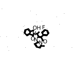 Cc1cccc2nc(C(C)N3C(=O)c4ccccc4C3O)c(-c3cccc(F)c3)c(=O)n12